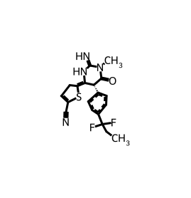 CCC(F)(F)c1ccc([C@H]2C(=O)N(C)C(=N)N/C2=C2\CC=C(C#N)S2)cc1